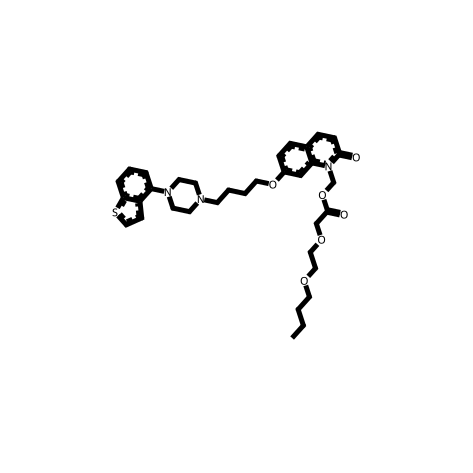 CCCCOCCOCC(=O)OCn1c(=O)ccc2ccc(OCCCCN3CCN(c4cccc5sccc45)CC3)cc21